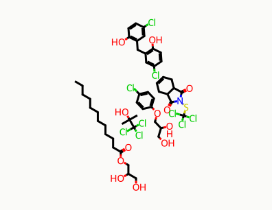 CC(C)(O)C(Cl)(Cl)Cl.CCCCCCCCCCCC(=O)OCC(O)CO.O=C1C2CC=CCC2C(=O)N1SC(Cl)(Cl)Cl.OCC(O)COc1ccc(Cl)cc1.Oc1ccc(Cl)cc1Cc1cc(Cl)ccc1O